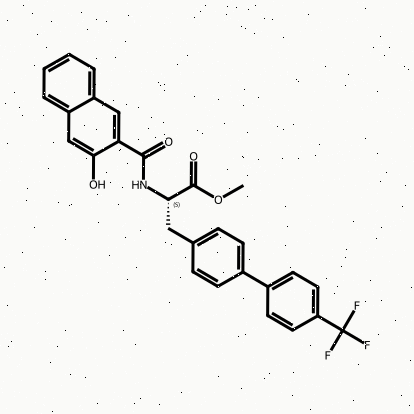 COC(=O)[C@H](Cc1ccc(-c2ccc(C(F)(F)F)cc2)cc1)NC(=O)c1cc2ccccc2cc1O